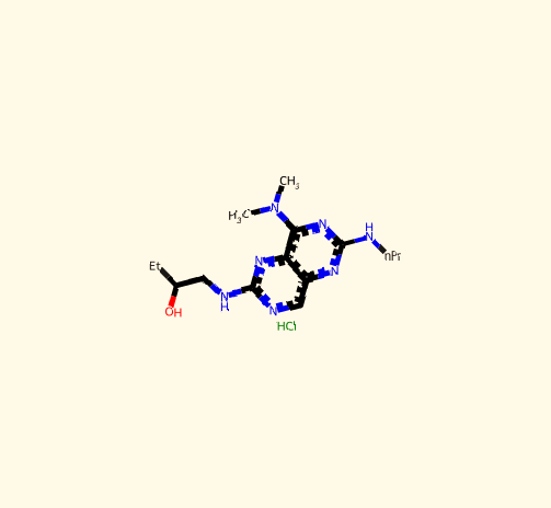 CCCNc1nc(N(C)C)c2nc(NCC(O)CC)ncc2n1.Cl